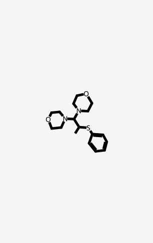 CC(Sc1ccccc1)C(N1CCOCC1)N1CCOCC1